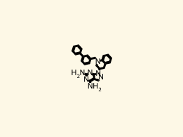 Nc1nc(N)c2cnn(C3Cc4ccccc4N(Cc4cccc(-c5ccccc5)c4)C3)c2n1